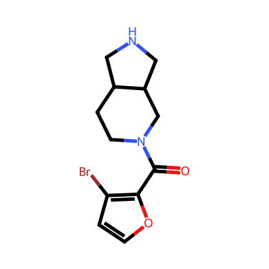 O=C(c1occc1Br)N1CCC2CNCC2C1